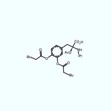 CCC(C)CC(=O)Oc1ccc(C[C@](NC(C)C)(OC(C)=O)C(=O)O)cc1OC(=O)CC(C)CC